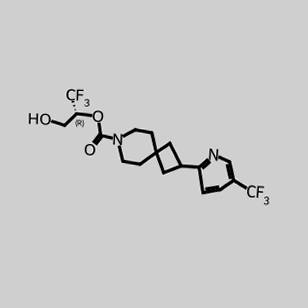 O=C(O[C@H](CO)C(F)(F)F)N1CCC2(CC1)CC(c1ccc(C(F)(F)F)cn1)C2